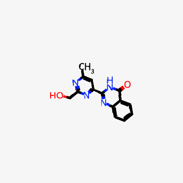 Cc1cc(-c2nc3ccccc3c(=O)[nH]2)nc(CO)n1